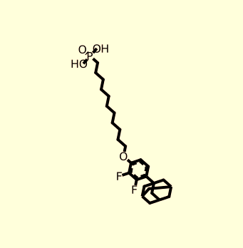 O=P(O)(O)CCCCCCCCCCCOc1ccc(C23CC4CC(CC(C4)C2)C3)c(F)c1F